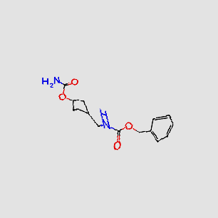 NC(=O)OC1CC(CNC(=O)OCc2ccccc2)C1